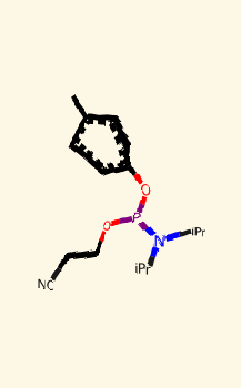 Cc1ccc(OP(OCCC#N)N(C(C)C)C(C)C)cc1